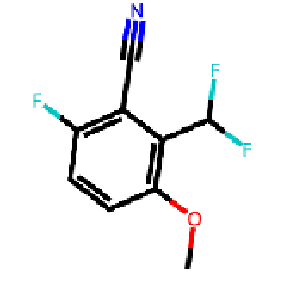 COc1ccc(F)c(C#N)c1C(F)F